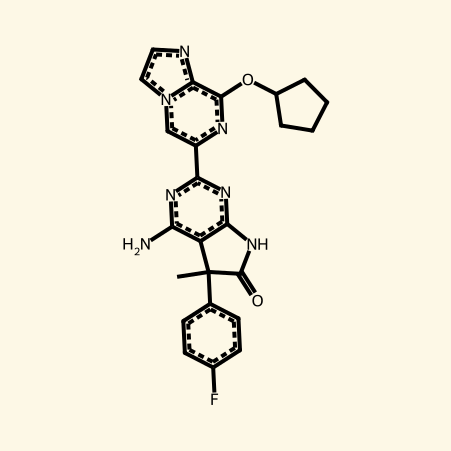 CC1(c2ccc(F)cc2)C(=O)Nc2nc(-c3cn4ccnc4c(OC4CCCC4)n3)nc(N)c21